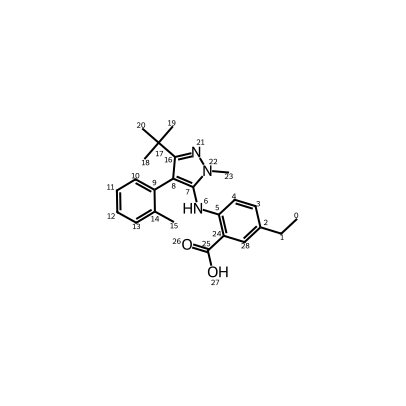 CCc1ccc(Nc2c(-c3ccccc3C)c(C(C)(C)C)nn2C)c(C(=O)O)c1